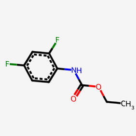 CCOC(=O)Nc1ccc(F)cc1F